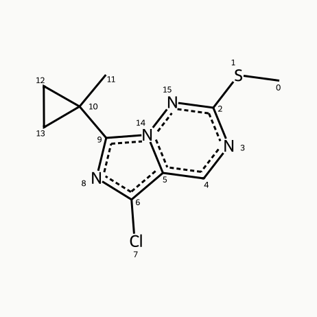 CSc1ncc2c(Cl)nc(C3(C)CC3)n2n1